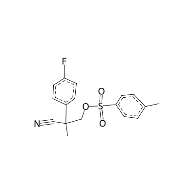 Cc1ccc(S(=O)(=O)OCC(C)(C#N)c2ccc(F)cc2)cc1